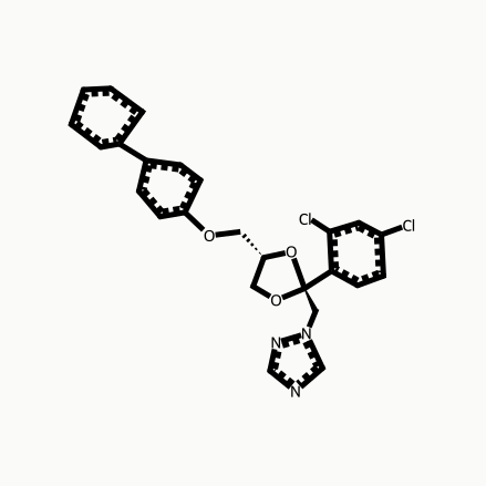 Clc1ccc([C@]2(Cn3cncn3)OC[C@H](COc3ccc(-c4ccccc4)cc3)O2)c(Cl)c1